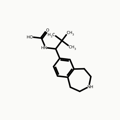 CC(C)(C)C(NC(=O)O)c1ccc2c(c1)CCNCC2